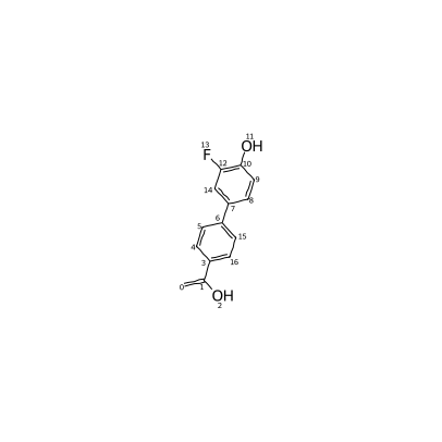 C=C(O)c1ccc(-c2ccc(O)c(F)c2)cc1